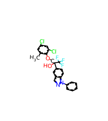 Cc1cc(Cl)cc(Cl)c1OCC(O)(c1ccc2c(cnn2-c2ccccc2)c1)C(F)(F)F